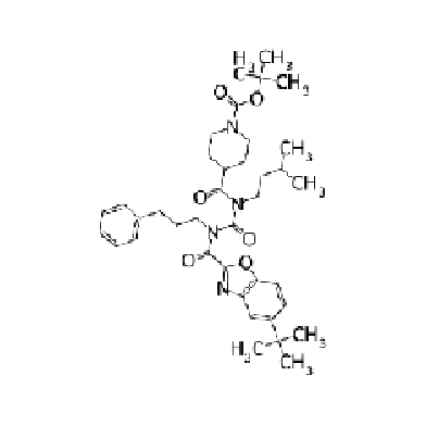 CC(C)CCN(C(=O)C1CCN(C(=O)OC(C)(C)C)CC1)C(=O)N(CCCc1ccccc1)C(=O)c1nc2cc(C(C)(C)C)ccc2o1